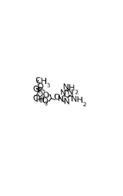 CCOP(=O)(COCC(CO)COn1cnc2c(N)nc(N)nc21)OCC